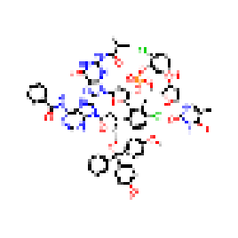 COc1ccc(C(OC[C@@H]2O[C@@H](n3cnc4c(NC(=O)c5ccccc5)ncnc43)C[C@H]2c2c[c]c(Cl)c(C)c2[C@H]2O[C@@H](n3cnc4c(=O)[nH]c(NC(=O)C(C)C)nc43)C[C@@H]2OP(=O)(OC[C@H]2O[C@@H](n3cc(C)c(=O)[nH]c3=O)C[C@@H]2O)Oc2ccccc2Cl)(c2ccccc2)c2ccc(OC)cc2)cc1